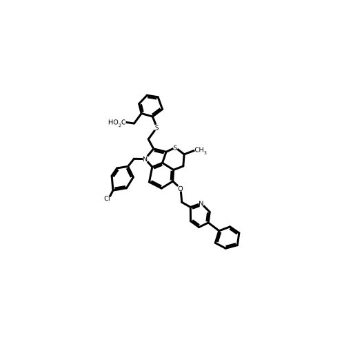 CC1Cc2c(OCc3ccc(-c4ccccc4)cn3)ccc3c2c(c(CSc2ccccc2CC(=O)O)n3Cc2ccc(Cl)cc2)S1